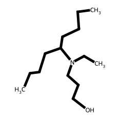 CCCCC(CCCC)N(CC)CCCO